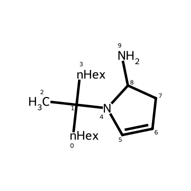 CCCCCCC(C)(CCCCCC)N1C=CCC1N